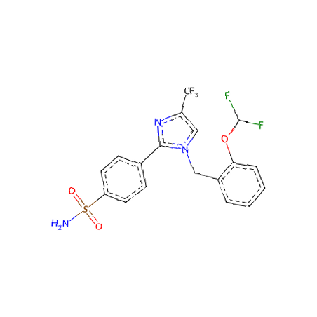 NS(=O)(=O)c1ccc(-c2nc(C(F)(F)F)cn2Cc2ccccc2OC(F)F)cc1